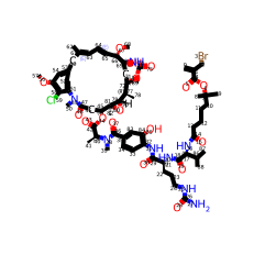 C=C(CBr)C(=O)OC(C)(C)CCCCC(=O)N[C@H](C(=O)N[C@@H](CCCNC(N)=O)C(=O)Nc1ccc(C(=O)N(C)[C@@H](C)C(=O)O[C@H]2CC(=O)N(C)c3cc(cc(OC)c3Cl)C/C(C)=C/C=C/[C@@H](OC)[C@@]3(O)C[C@H](OC(=O)N3)[C@@H](C)[C@@H]3O[C@@]23C)cc1O)C(C)C